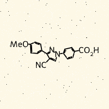 COc1ccc(-c2nn(-c3ccc(C(=O)O)cc3)cc2C#N)cc1